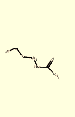 CCCCSNNC(N)=O